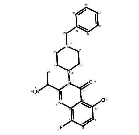 CC(N)c1nc2c(F)ccc(Cl)c2c(=O)n1N1CCN(Cc2ccccc2)CC1